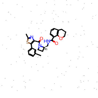 Cc1cccc(-c2sc(C)nc2C(=O)N2CC[C@@H]2CNC(=O)c2cccc3c2OCCC3)c1